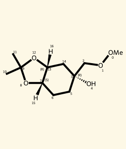 COOC[C@@]1(O)CC[C@@H]2OC(C)(C)O[C@@H]2C1